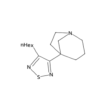 CCCCCCc1nsnc1C12CCCN(CC1)C2